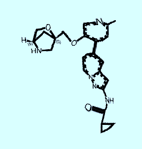 Cc1cc(-c2ccn3nc(NC(=O)C4CC4)cc3c2)c(OC[C@]23CN[C@H](CO2)C3)cn1